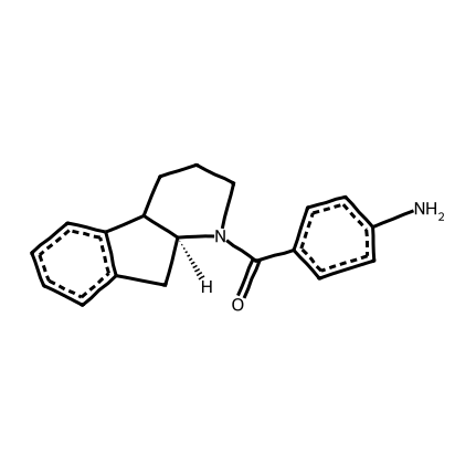 Nc1ccc(C(=O)N2CCCC3c4ccccc4C[C@@H]32)cc1